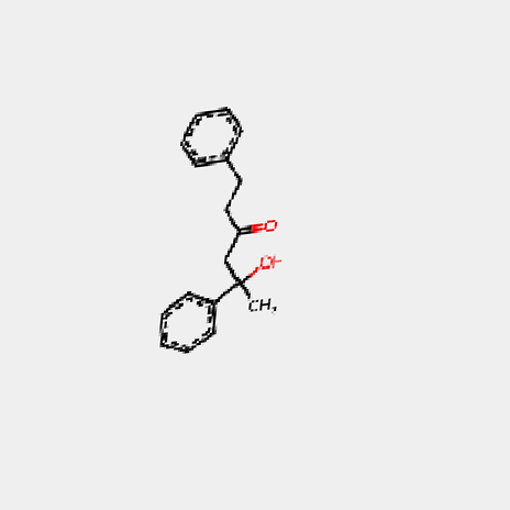 CC(O)(CC(=O)CCc1ccccc1)c1ccccc1